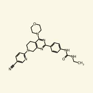 CCNC(=O)Nc1ccc(-c2nc3c(c(N4CCOCC4)n2)CCN(c2ccc(C#N)cn2)C3)cc1